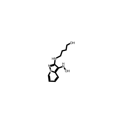 OCCCCNc1nn2ccccc2c1NO